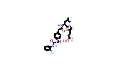 CC(C)CC(NC(=O)Cc1ccc(NC(=O)Nc2ccccc2Cl)cc1)c1ncc(CCC(=O)O)s1